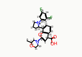 CC1CN(C2=CC(C(=O)O)c3cccc(C4CCCN4c4cc(F)cc(F)c4)c3O2)CCO1